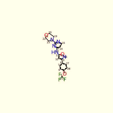 FC(F)(F)Oc1ccc(-c2cc(Nc3ccnc(N4CCOCC4)n3)on2)cc1